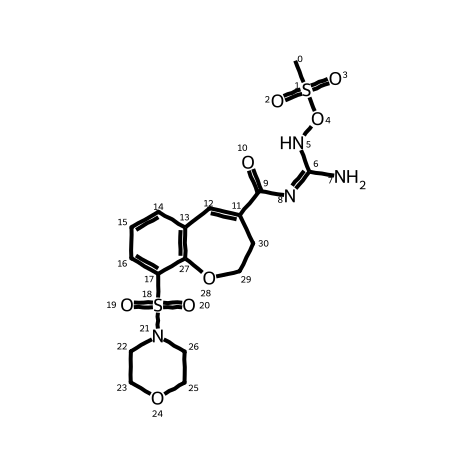 CS(=O)(=O)ONC(N)=NC(=O)C1=Cc2cccc(S(=O)(=O)N3CCOCC3)c2OCC1